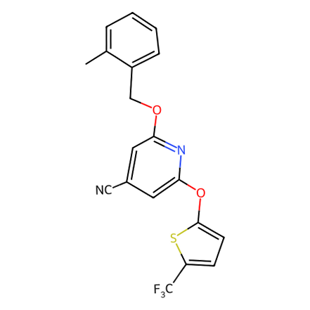 Cc1ccccc1COc1cc(C#N)cc(Oc2ccc(C(F)(F)F)s2)n1